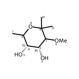 COC1[C@H](O)[C@H](O)C(C)OC1(C)C